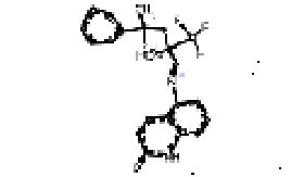 CC(C)(CC(O)(/C=N/c1cccc2[nH]c(=O)ccc12)C(F)(F)F)c1ccccc1